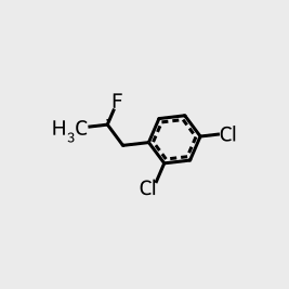 C[C](F)Cc1ccc(Cl)cc1Cl